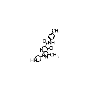 Cc1ccc(NC(=O)c2cnc3c(c(C)nn3C3CCNCC3)c2Cl)cc1